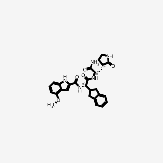 COc1cccc2[nH]c(C(=O)N[C@H](C(=O)N[C@@H](C[C@@H]3CCNC3=O)C(N)=O)C3Cc4ccccc4C3)cc12